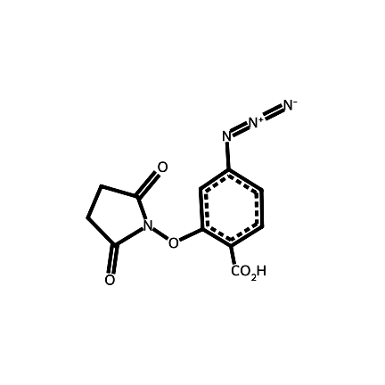 [N-]=[N+]=Nc1ccc(C(=O)O)c(ON2C(=O)CCC2=O)c1